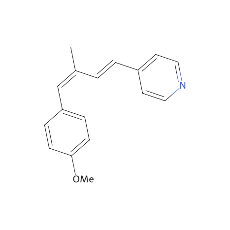 COc1ccc(C=C(C)C=Cc2ccncc2)cc1